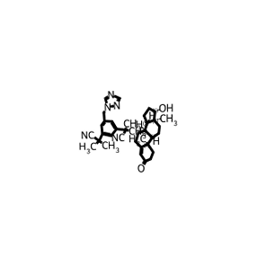 CC(C)(C#N)c1cc(Cn2cncn2)cc(C(C)(C)C#N)c1.C[C@]12CC[C@H]3[C@@H](CCC4=CC(=O)CC[C@@]43C)[C@@H]1CC[C@@H]2O